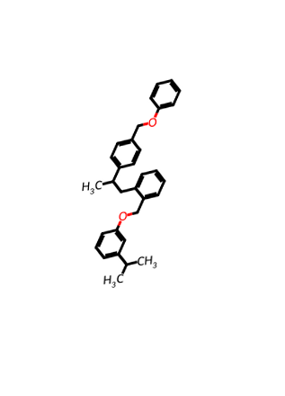 CC(C)c1cccc(OCc2ccccc2CC(C)c2ccc(COc3ccccc3)cc2)c1